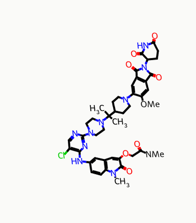 CNC(=O)COc1cc2cc(Nc3nc(N4CCN(C(C)(C)C5CCN(c6cc7c(cc6OC)C(=O)N(C6CCC(=O)NC6=O)C7=O)CC5)CC4)ncc3Cl)ccc2n(C)c1=O